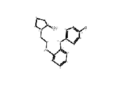 O=C(O)C1CCCN1CCOc1ccccc1Sc1ccc(Cl)cc1